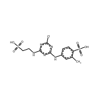 Cc1cc(Nc2nc(Cl)nc(NCCS(=O)(=O)O)n2)ccc1S(=O)(=O)O